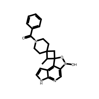 CC1C2(CCN(C(=O)c3ccccc3)CC2)CC12OB(O)c1cnc3[nH]ccc3c12